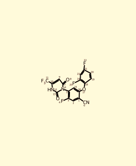 N#Cc1cc(F)c(-n2c(=O)cc(C(F)(F)F)[nH]c2=O)cc1Oc1ccc(F)cc1F